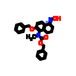 CN(C(=O)OCc1ccccc1)c1c(OCc2ccccc2)ccc2c1CCC/C2=N\O